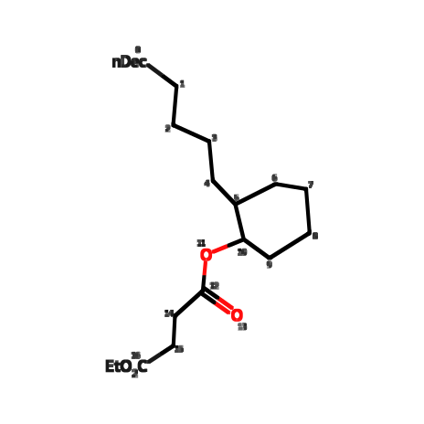 CCCCCCCCCCCCCCC1CCCCC1OC(=O)CCC(=O)OCC